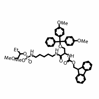 CCC(COC)OP(=O)(NCCCCCNC(=O)C(COC(c1ccccc1)(c1ccc(OC)cc1)c1ccc(OC)cc1)NC(=O)OCC1c2ccccc2-c2ccccc21)OC